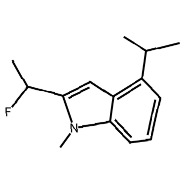 CC(C)c1cccc2c1cc(C(C)F)n2C